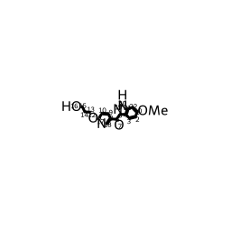 COc1ccc2c(C(=O)c3ccc(OCCCO)nc3)n[nH]c2c1